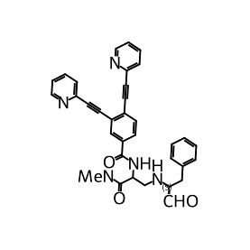 CNC(=O)C(CN[C@H](C=O)Cc1ccccc1)NC(=O)c1ccc(C#Cc2ccccn2)c(C#Cc2ccccn2)c1